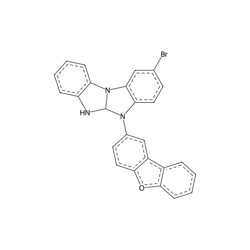 Brc1ccc2c(c1)N1c3ccccc3NC1N2c1ccc2oc3ccccc3c2c1